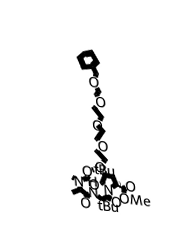 COC(=O)[C@@H]1C[C@H](OCCOCCOCCOCCOCc2ccccc2)CN1C(=O)C(NC(=O)C(C)N(C)C(=O)OC(C)(C)C)C(C)(C)C